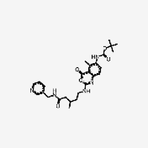 Cc1c(NC(=O)OC(C)(C)C)ccc2nc(NCCC(C)CC(=O)NCc3cccnc3)oc(=O)c12